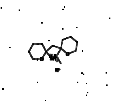 C[SiH2]C1(CC2([SiH3])CCCCO2)CCCCO1.[H+]